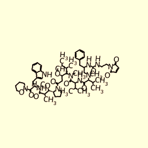 CCC(C)C(C(CC(=O)N1CCC[C@H]1C(OC)C(C)C(=O)NC(Cc1c[nH]c2ccccc12)C(=O)N1CCCCO1)OC)N(C)C(=O)C(NC(=O)C(C(C)C)N(C)CC(Cc1ccccc1)NC(=O)NCCN1C(=O)C=CC1=O)C(C)C